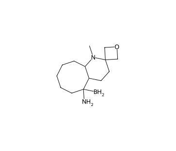 BC1(N)CCCCCC2C1CCC1(COC1)N2C